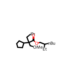 CCCCC(CC)COC(=O)C(COC)(CC(C)C)C1CCCC1